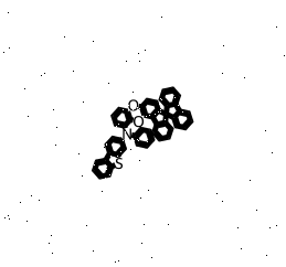 C1=CC2=C(CC1)C1(c3ccccc3-c3ccccc31)c1ccc3c(c12)Oc1c(cccc1N(c1ccccc1)c1ccc2c(c1)sc1ccccc12)O3